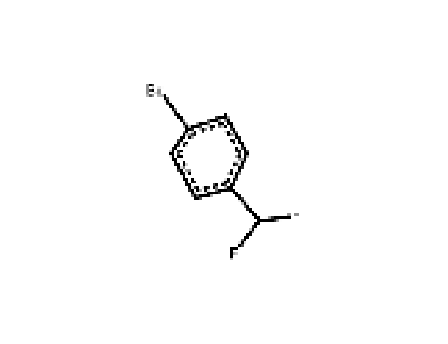 FC(F)c1c[c]c(Br)cc1